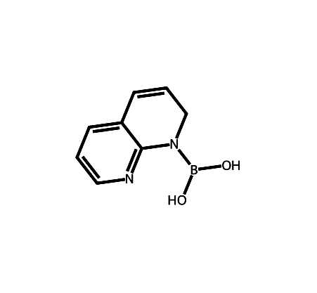 OB(O)N1CC=Cc2cccnc21